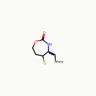 CCCCC/C=C1/NC(=O)OCCC1Cl